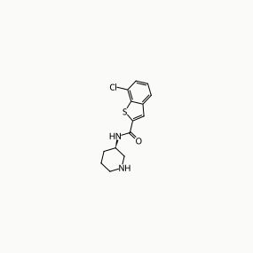 O=C(N[C@@H]1CCCNC1)c1cc2cccc(Cl)c2s1